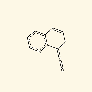 O=C=C1CC=Cc2cccnc21